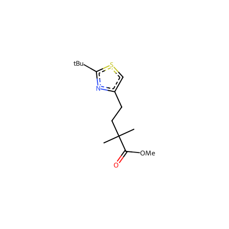 COC(=O)C(C)(C)CCc1csc(C(C)(C)C)n1